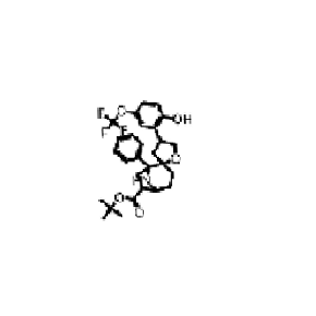 CC(C)(C)OC(=O)C1CC2(c3ccccc3)NC1CCC21CC(c2cc(OC(F)(F)F)ccc2O)CO1